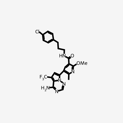 COc1nc(C)c(-c2cc(C(F)(F)F)c3c(N)ncnn23)cc1C(=O)NCCCc1ccc(Cl)cc1